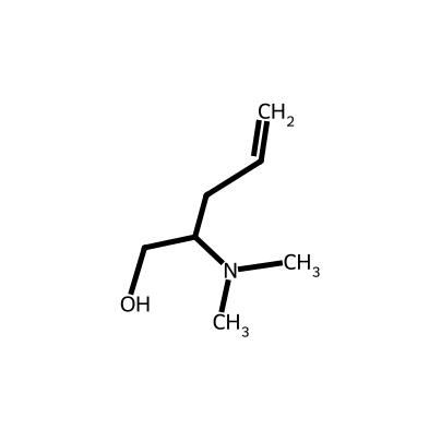 C=CCC(CO)N(C)C